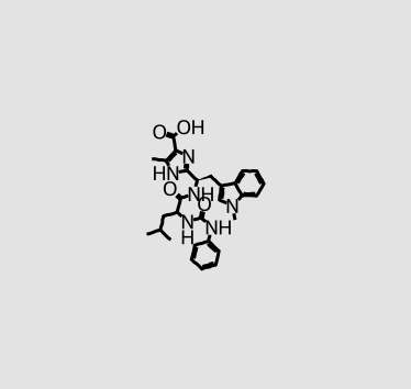 Cc1[nH]c([C@@H](Cc2cn(C)c3ccccc23)NC(=O)C(CC(C)C)NC(=O)Nc2ccccc2)nc1C(=O)O